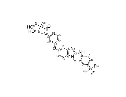 Cn1c(Nc2ccc(C(F)(F)F)cc2)nc2cc(Oc3ccnc(NC(=O)C(C)(CO)CO)c3)ccc21